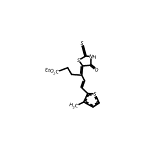 CCOC(=O)CCC(/C=C/c1sccc1C)=C1\SC(=S)NC1=O